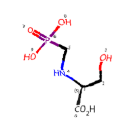 O=C(O)[C@H](CO)NCP(=O)(O)O